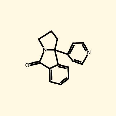 O=C1c2ccccc2C2(c3ccncc3)CCCN12